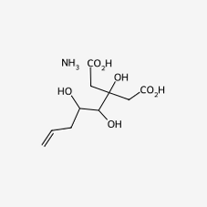 C=CCC(O)C(O)C(O)(CC(=O)O)CC(=O)O.N